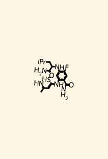 CC(=N)/C=C(\S)Nc1cc(NC(CC(C)C)C(N)=O)c(F)cc1C(N)=O